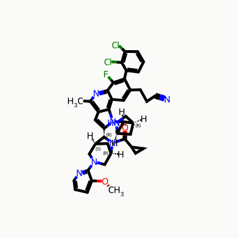 COc1cccnc1N1C[C@@H]2C[C@H](C1)N(C(=O)C1CC1)[C@H]2c1cc2c(C)nc3c(F)c(-c4cccc(Cl)c4Cl)c(CCC#N)cc3c2n1[C@H]1[C@H]2CN[C@@H]1C2